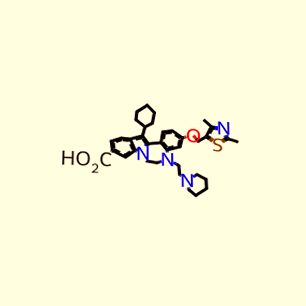 Cc1nc(C)c(COc2ccc3c(c2)N(CCN2CCCCC2)CCn2c-3c(C3CCCCC3)c3ccc(C(=O)O)cc32)s1